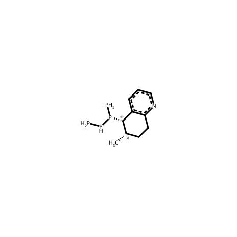 C[C@H]1CCc2ncccc2[C@H]1P(P)PP